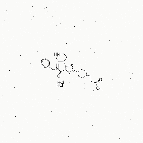 COC(=O)CCC1CCC(C2=NN(C(=O)NCc3cccnc3)C(C3CCNCC3)S2)CC1.Cl.Cl